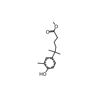 COC(=O)CCCC(C)(C)c1ccc(O)c(C)c1